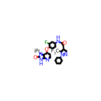 CC(C)n1c(=O)[nH]c2nccc(Oc3ccc(NC4OC4c4cnn(-c5ccccc5)c4C(F)(F)F)cc3F)c21